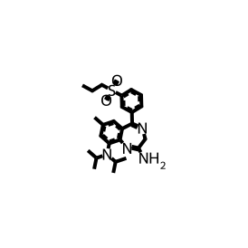 CCCS(=O)(=O)c1cccc(C2=NCC(N)=Nc3c2cc(C)cc3N(C(C)C)C(C)C)c1